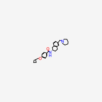 O=C(N[C@H]1CCc2cc(CN3CCCCCC3)ccc2C1)c1ccc(OCC2CCC2)cc1